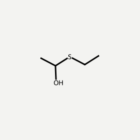 CCSC(C)O